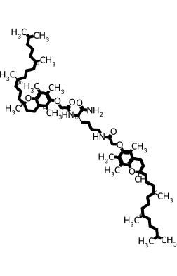 CC1=C2O[C@](C)(CCC[C@H](C)CCC[C@H](C)CCCC(C)C)CCC2[C@H](C)C(OCC(=O)N[C@@H](CCCCNC(=O)COc2c(C)c(C)c3c(c2C)CC[C@@](C)(CCC[C@H](C)CCC[C@H](C)CCCC(C)C)O3)C(N)=O)=C1C